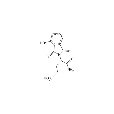 NC(=O)[C@H](CCC(=O)O)N1C(=O)c2cccc(O)c2C1=O